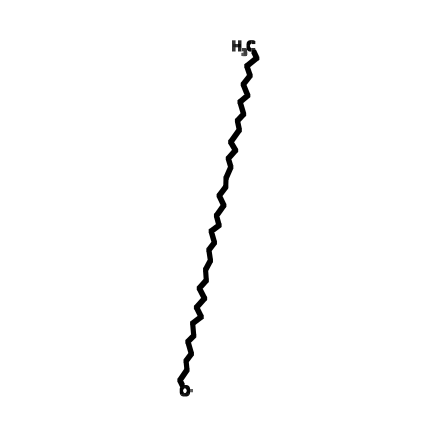 CCCCCCCCCCCCCCCCCCCCCCCCCCCCCCCCCCCCC[O]